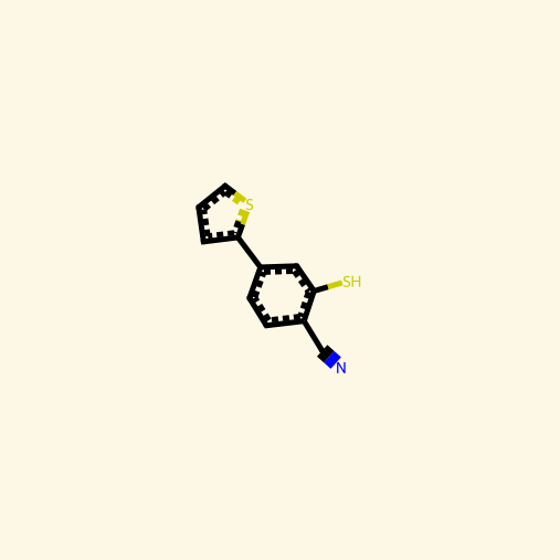 N#Cc1ccc(-c2cccs2)cc1S